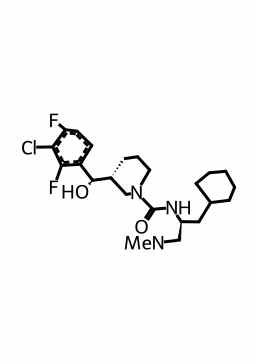 CNC[C@H](CC1CCCCC1)NC(=O)N1CCC[C@@H]([C@H](O)c2ccc(F)c(Cl)c2F)C1